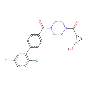 O=C(c1ccc(-c2cc(Cl)ccc2Cl)cc1)N1CCN(C(=O)C2CC2O)CC1